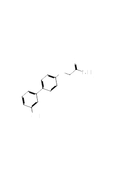 Cc1cccc(-c2ccc(OCC(N)=O)cc2)c1